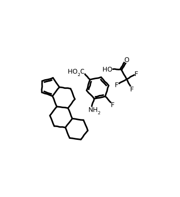 C1=CC2CCC3C(CCC4CCCCC43)C2=C1.Nc1cc(C(=O)O)ccc1F.O=C(O)C(F)(F)F